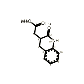 COC(=O)CC1Cc2c[c]ccc2NC1=O